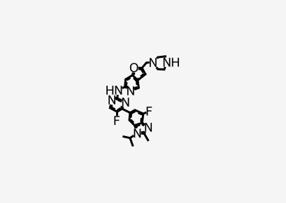 Cc1nc2c(F)cc(-c3nc(Nc4cc5oc(CN6CCNCC6)cc5cn4)ncc3F)cc2n1C(C)C